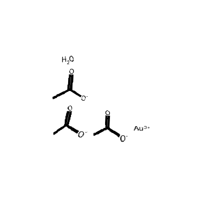 CC(=O)[O-].CC(=O)[O-].CC(=O)[O-].O.[Au+3]